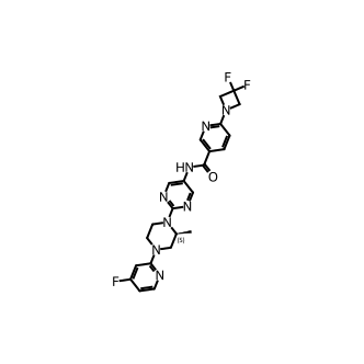 C[C@H]1CN(c2cc(F)ccn2)CCN1c1ncc(NC(=O)c2ccc(N3CC(F)(F)C3)nc2)cn1